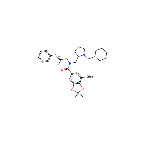 COc1cc(C(=O)N(C/C(C)=C/c2ccccc2)CC2CCCN2CC2CCCCC2)cc2c1OC(C)(C)O2